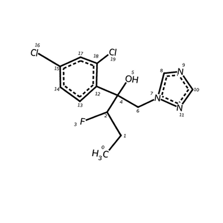 CCC(F)C(O)(Cn1cncn1)c1ccc(Cl)cc1Cl